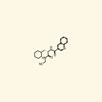 N#CCNC(=O)[C@H](CC1CCCCC1)NC(=O)c1cnc2ccccc2c1